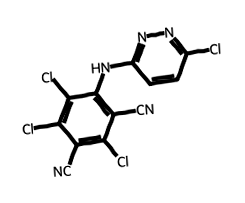 N#Cc1c(Cl)c(Cl)c(Nc2ccc(Cl)nn2)c(C#N)c1Cl